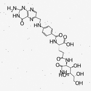 NC(=O)[C@@H](NC(=O)CC[C@H](NC(=O)c1ccc(NCc2cnc3nc(N)[nH]c(=O)c3n2)cc1)C(=O)O)[C@@H](O)[C@H](O)[C@H](O)CO